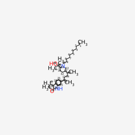 CCCCCCCCCCCN1CC(C(C)CCC(C)c2ccc3c(c2)NC(=O)C3(C)C)CCC1C(C)(C)O